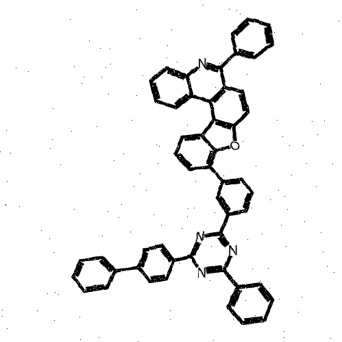 c1ccc(-c2ccc(-c3nc(-c4ccccc4)nc(-c4cccc(-c5cccc6c5oc5ccc7c(-c8ccccc8)nc8ccccc8c7c56)c4)n3)cc2)cc1